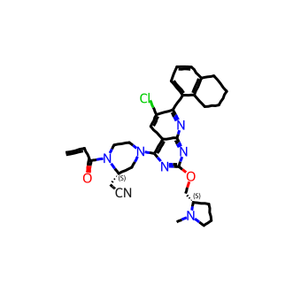 C=CC(=O)N1CCN(c2nc(OC[C@@H]3CCCN3C)nc3nc(-c4cccc5c4CCCC5)c(Cl)cc23)C[C@@H]1CC#N